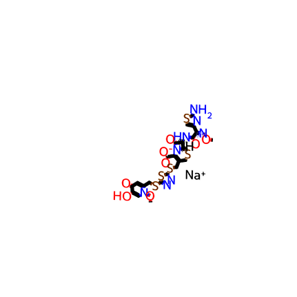 CO/N=C(\C(=O)N[C@@H]1C(=O)N2C(C(=O)[O-])=C(CSc3nnc(SCc4cc(=O)c(O)cn4OC)s3)CS[C@@H]12)c1csc(N)n1.[Na+]